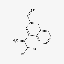 C=Cc1cc(C(=C)C(=O)O)c2ccccc2c1